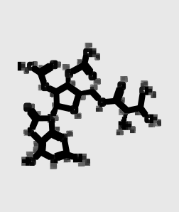 CC(=O)OC1[C@H](n2c(=O)sc3c(O)nc(N)nc32)O[C@H](COC(=O)[C@@H](N)C(C)C)[C@H]1OC(C)=O